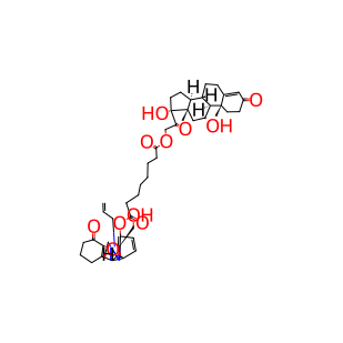 C=CCN1CC[C@@]23CCCC(=O)[C@@H]2Oc2c(OC(=O)CCCCCCC(=O)OCC(=O)[C@@]4(O)CC[C@H]5[C@@H]6CCC7=CC(=O)CC[C@]7(C)[C@H]6[C@@H](O)C[C@@]54C)ccc(c23)C[C@@H]1CO